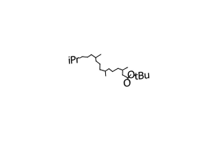 CC(C)CCCC(C)CCCC(C)CCCC(C)CC(=O)OC(C)(C)C